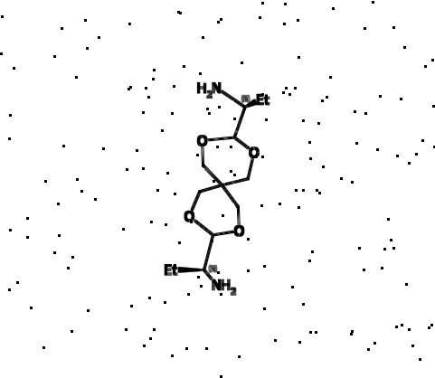 CC[C@H](N)C1OCC2(CO1)COC([C@@H](N)CC)OC2